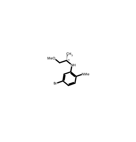 CNc1ccc(Br)cc1N[C@@H](C)COC